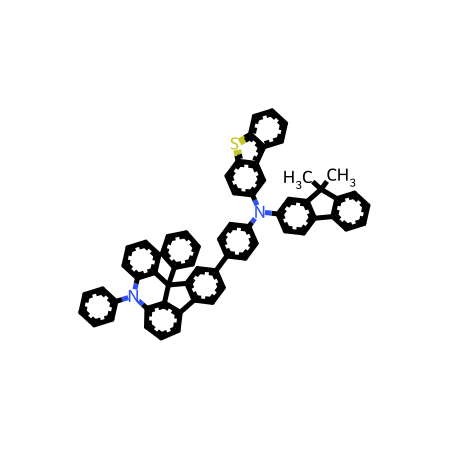 CC1(C)c2ccccc2-c2ccc(N(c3ccc(-c4ccc5c(c4)C4(c6ccccc6)c6ccccc6N(c6ccccc6)c6cccc-5c64)cc3)c3ccc4sc5ccccc5c4c3)cc21